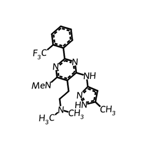 CNc1nc(-c2ccccc2C(F)(F)F)nc(Nc2cc(C)[nH]n2)c1CCN(C)C